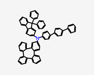 c1ccc(-c2ccc(-c3ccc(N(c4ccc5c(c4)-c4ccccc4-c4ccccc4-c4ccccc4-5)c4ccc5c(c4)C(c4ccccc4)(c4ccccc4)c4ccccc4-5)cc3)cc2)cc1